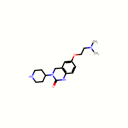 CN(C)CCOc1ccc2c(c1)CN(C1CCNCC1)C(=O)N2